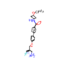 CO[C@H]1C[C@@H](NC(=O)C23CCC(c4ccc(OC/C(=C/F)CN)cc4)(CC2)CC3)C1